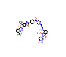 COc1cc2nc([C@H]3CC[C@H](C(=O)N4CCN(CCCNc5cccc6c5C(O)N(C5CCC(=O)NC5=O)C6=O)CC4)CC3)sc2cc1NC(=O)c1cccc(C(F)(F)F)n1